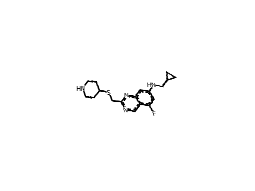 Fc1cc(NCC2CC2)cc2nc(CSC3CCNCC3)ncc12